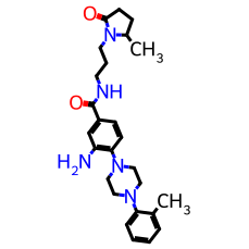 Cc1ccccc1N1CCN(c2ccc(C(=O)NCCCN3C(=O)CCC3C)cc2N)CC1